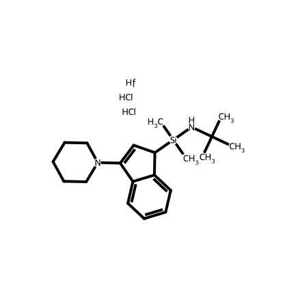 CC(C)(C)N[Si](C)(C)C1C=C(N2CCCCC2)c2ccccc21.Cl.Cl.[Hf]